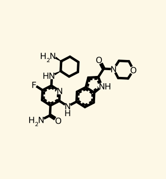 NC(=O)c1cc(F)c(N[C@@H]2CCCC[C@@H]2N)nc1Nc1ccc2[nH]c(C(=O)N3CCOCC3)cc2c1